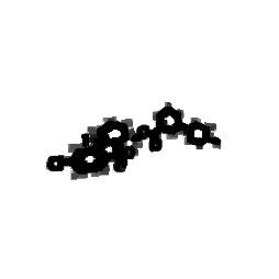 CN1CCN(C2CCCN(C(=O)OC[C@H]3CCC[C@H]4c5cc(Cl)ccc5S(=O)(=O)N34)C2)CC1